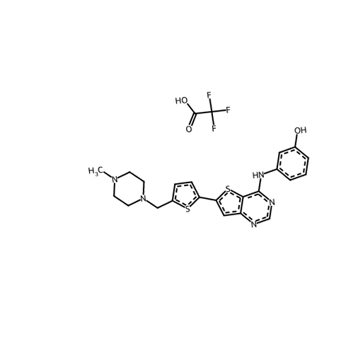 CN1CCN(Cc2ccc(-c3cc4ncnc(Nc5cccc(O)c5)c4s3)s2)CC1.O=C(O)C(F)(F)F